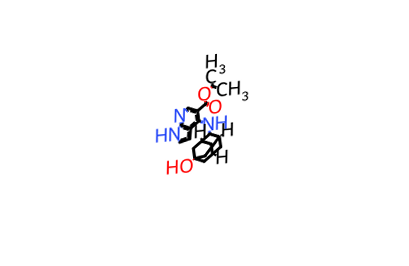 CC(C)OC(=O)c1cnc2[nH]ccc2c1NC1[C@@H]2C[C@@H]3C[C@H]1C[C@@](O)(C3)C2